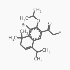 CC(C)Oc1c(C(=O)CF)cc2c(c1Br)C(C)(C)CC=C2C(C)C